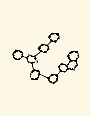 c1ccc(-c2ccc(-c3nc(-c4ccccc4)nc(-c4cccc(-c5cccc(-c6ccc7c(c6)ncc6ccccc67)c5)c4)n3)cc2)cc1